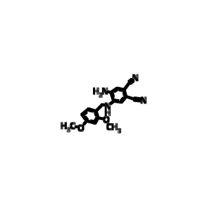 COc1ccc(CNc2cc(C#N)c(C#N)cc2N)c(OC)c1